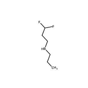 CCCBCCC(F)F